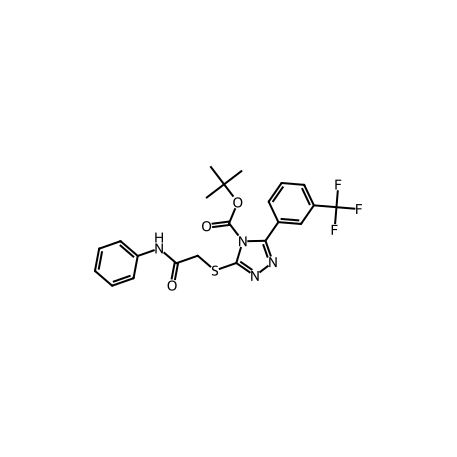 CC(C)(C)OC(=O)n1c(SCC(=O)Nc2ccccc2)nnc1-c1cccc(C(F)(F)F)c1